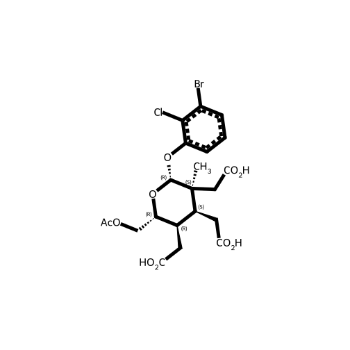 CC(=O)OC[C@@H]1O[C@H](Oc2cccc(Br)c2Cl)[C@@](C)(CC(=O)O)[C@@H](CC(=O)O)[C@H]1CC(=O)O